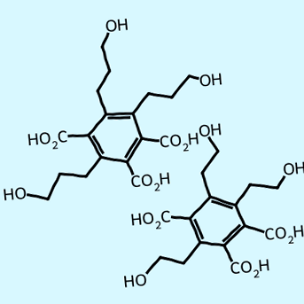 O=C(O)c1c(CCCO)c(CCCO)c(C(=O)O)c(C(=O)O)c1CCCO.O=C(O)c1c(CCO)c(CCO)c(C(=O)O)c(C(=O)O)c1CCO